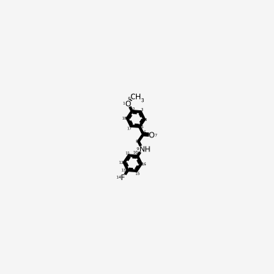 COc1ccc(C(=O)CNc2ccc(F)cc2)cc1